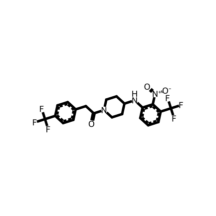 O=C(Cc1ccc(C(F)(F)F)cc1)N1CCC(Nc2cccc(C(F)(F)F)c2[N+](=O)[O-])CC1